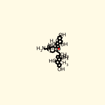 CC(CCC(=O)N1CCCN(CCCN)C(=O)CCC1C1CCC2C3C(O)CC4CC(O)CC[C@]4(C)C3CC(O)[C@@]21C)C1CCC2C3C(O)CC4CC(O)CC[C@]4(C)C3CC(O)[C@]12C